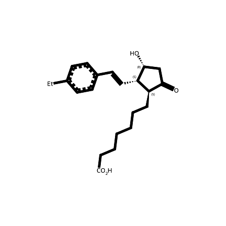 CCc1ccc(C=C[C@@H]2[C@H](O)CC(=O)[C@H]2CCCCCCC(=O)O)cc1